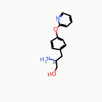 N[C@H](CO)Cc1ccc(Oc2ccccn2)cc1